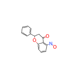 O=Nc1cccc2c1C(=O)CC(c1ccccc1)O2